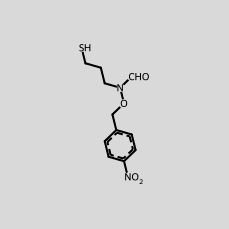 O=CN(CCCS)OCc1ccc([N+](=O)[O-])cc1